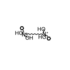 C[N+](CCO)(CCCCCCCCCCCC[N+](C)(CCO)C(O)Cc1ccccc1)C(O)Cc1ccccc1